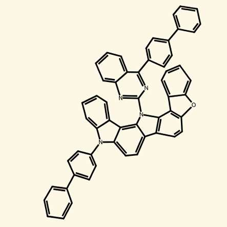 c1ccc(-c2ccc(-c3nc(-n4c5c(ccc6oc7ccccc7c65)c5ccc6c(c7ccccc7n6-c6ccc(-c7ccccc7)cc6)c54)nc4ccccc34)cc2)cc1